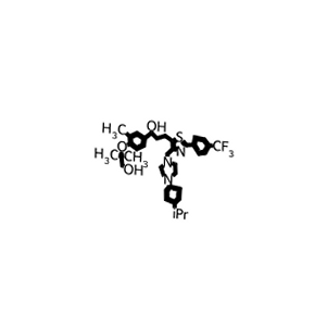 Cc1cc(C(O)CCc2sc(-c3ccc(C(F)(F)F)cc3)nc2CN2CCN(c3ccc(C(C)C)cc3)CC2)ccc1OC(C)(C)CO